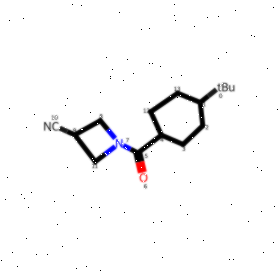 CC(C)(C)C1CCC(C(=O)N2CC(C#N)C2)CC1